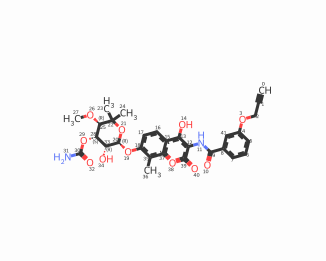 C#CCOc1cccc(C(=O)Nc2c(O)c3ccc(O[C@@H]4OC(C)(C)[C@H](OC)[C@@H](OC(N)=O)[C@H]4O)c(C)c3oc2=O)c1